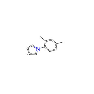 Cc1ccc(-n2c[c]cc2)c(C)c1